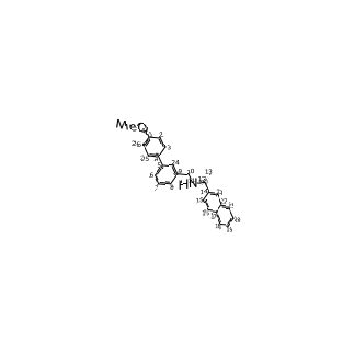 COc1ccc(-c2cccc(CN[C@H](C)c3ccc4ccccc4c3)c2)cc1